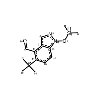 C[SiH](C)On1ncc2c(C=O)c(C(C)(C)C)ccc21